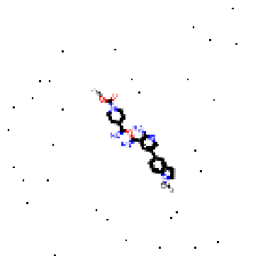 Cn1ccc2cc(-c3cnc(N)c(C(=N)OC(=N)C4CCN(C(=O)OC(C)(C)C)CC4)c3)ccc21